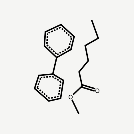 CCCCCC(=O)OC.c1ccc(-c2ccccc2)cc1